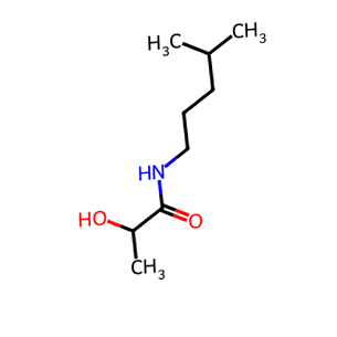 CC(C)CCCNC(=O)C(C)O